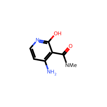 CNC(=O)c1c(N)ccnc1O